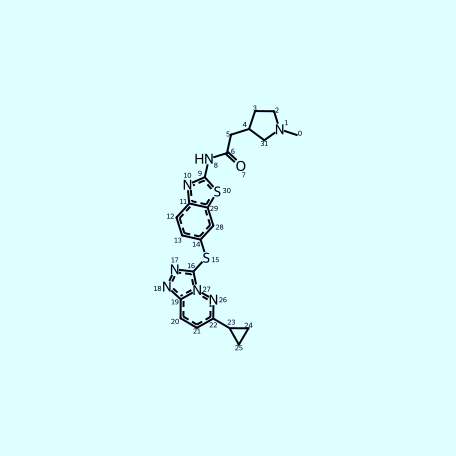 CN1CCC(CC(=O)Nc2nc3ccc(Sc4nnc5ccc(C6CC6)nn45)cc3s2)C1